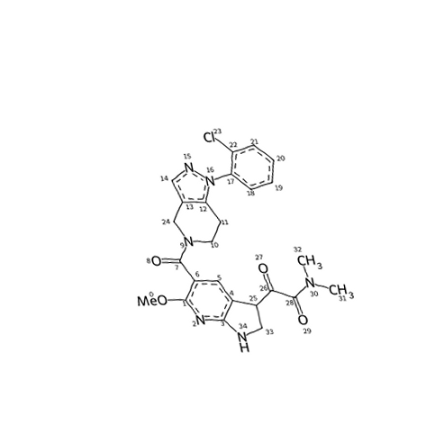 COc1nc2c(cc1C(=O)N1CCc3c(cnn3-c3ccccc3Cl)C1)C(C(=O)C(=O)N(C)C)CN2